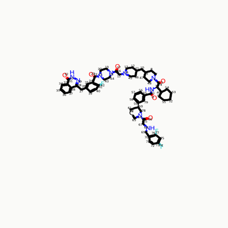 O=C(N[C@@H](C(=O)N1CCC(CC2CCN(CC(=O)N3CCN(C(=O)c4cc(Cc5n[nH]c(=O)c6ccccc56)ccc4F)CC3)CC2)CC1)C1CCCCC1)c1cccc([C@@H]2CCCN(C(=O)CNCc3ccc(F)cc3F)C2)c1